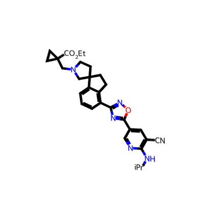 CCOC(=O)C1(CN2CCC3(CCc4c(-c5noc(-c6cnc(NC(C)C)c(C#N)c6)n5)cccc43)C2)CC1